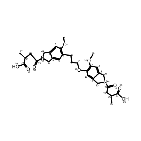 COc1cc2c(cc1CCCOc1cc3c(cc1OC)CN(C(=O)C[C@H](C)C(=O)O)C3)CN(C(=O)C[C@H](C)C(=O)O)C2